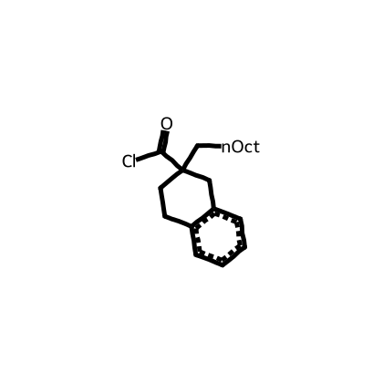 CCCCCCCCCC1(C(=O)Cl)CCc2ccccc2C1